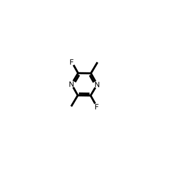 Cc1nc(F)c(C)nc1F